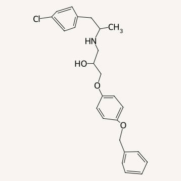 CC(Cc1ccc(Cl)cc1)NCC(O)COc1ccc(OCc2ccccc2)cc1